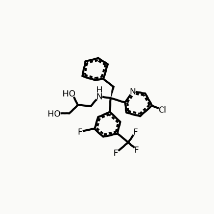 OCC(O)CN[C@@](Cc1ccccc1)(c1cc(F)cc(C(F)(F)F)c1)c1ccc(Cl)cn1